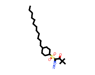 CCCCCCCCCCCCC1CCC(S(=O)(=O)C(=[N+]=[N-])C(=O)C(C)(C)C)CC1